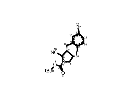 CC(C)(C)OC(=O)N1CC[C@H](Cc2cc(Br)ccc2F)C1C#N